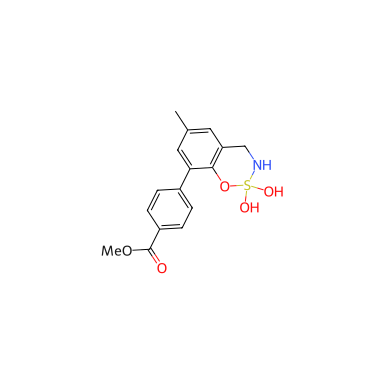 COC(=O)c1ccc(-c2cc(C)cc3c2OS(O)(O)NC3)cc1